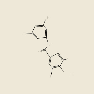 CC(C)(C)c1cc(NC(=O)c2cc(F)c(C(=O)O)c(F)c2)cc(C(C)(C)C)c1